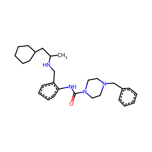 CC(CC1CCCCC1)NCc1ccccc1NC(=O)N1CCN(Cc2ccccc2)CC1